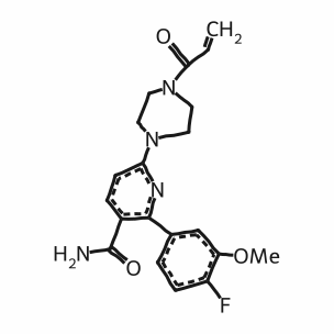 C=CC(=O)N1CCN(c2ccc(C(N)=O)c(-c3ccc(F)c(OC)c3)n2)CC1